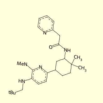 CNc1nc(C2CCC(C)(C)C(NC(=O)Cc3ccccn3)C2)ccc1NCC(C)(C)C